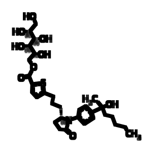 CCCCCC(C)(O)c1ccc(N2C(=O)CC[C@@H]2CCCc2ccc(C(=O)OC[C@@H](O)[C@@H](O)[C@@H](O)[C@H](O)CO)s2)cc1